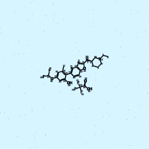 CCN1CCC[C@@H](Nc2nc3nc(-c4c(C)cc(OC(F)F)cc4O)ccc3o2)C1.O=C(O)C(F)(F)F